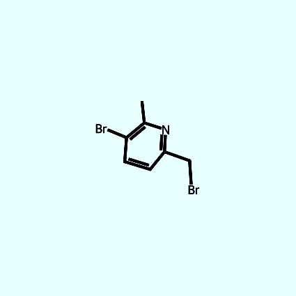 Cc1nc(CBr)ccc1Br